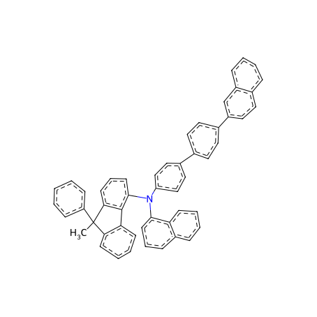 CC1(c2ccccc2)c2ccccc2-c2c(N(c3ccc(-c4ccc(-c5ccc6ccccc6c5)cc4)cc3)c3cccc4ccccc34)cccc21